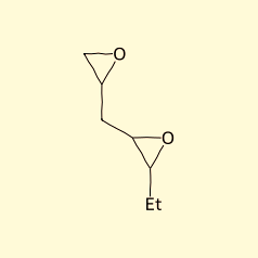 CCC1OC1CC1CO1